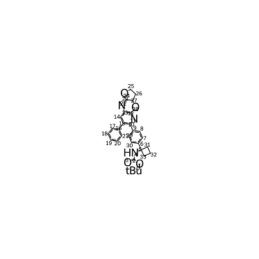 CC(C)(C)OC(=O)NC1(c2ccc(-c3nc4c(cc3-c3ccccc3)N=C3OCCC3O4)cc2)CCC1